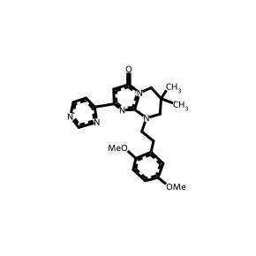 COc1ccc(OC)c(CCN2CC(C)(C)Cn3c2nc(-c2ccncn2)cc3=O)c1